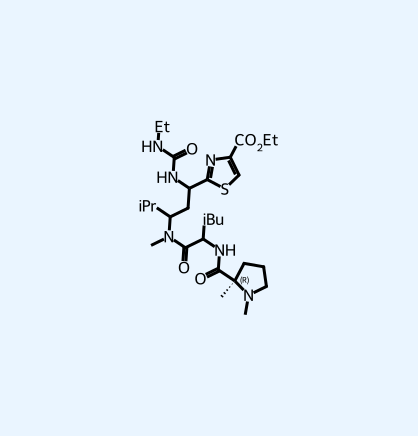 CCNC(=O)NC(CC(C(C)C)N(C)C(=O)C(NC(=O)[C@@]1(C)CCCN1C)C(C)CC)c1nc(C(=O)OCC)cs1